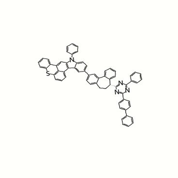 c1ccc(-c2ccc(-c3nc(-c4ccccc4)nc([C@@H]4CCc5ccc(-c6ccc7c(c6)c6c8cccc9c8c(cc6n7-c6ccccc6)-c6ccccc6S9)cc5-c5ccccc54)n3)cc2)cc1